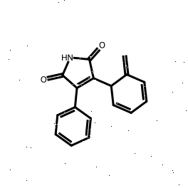 C=C1C=CC=CC1C1=C(c2ccccc2)C(=O)NC1=O